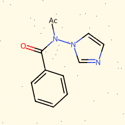 CC(=O)N(C(=O)c1ccccc1)n1ccnc1